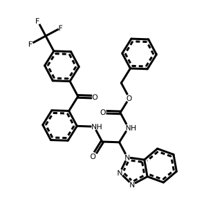 O=C(NC(C(=O)Nc1ccccc1C(=O)c1ccc(C(F)(F)F)cc1)n1nnc2ccccc21)OCc1ccccc1